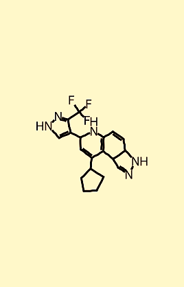 FC(F)(F)c1n[nH]cc1C1C=C(C2CCCC2)C2=C(C=CC3NN=CC23)N1